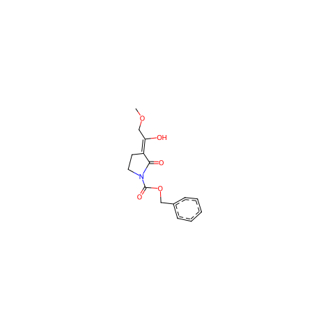 COC/C(O)=C1\CCN(C(=O)OCc2ccccc2)C1=O